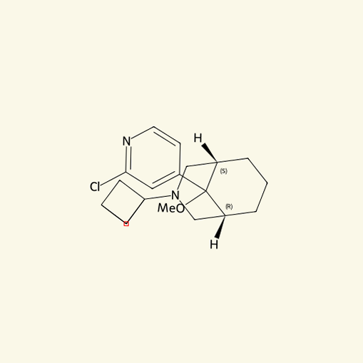 COC1(c2ccnc(Cl)c2)[C@@H]2CCC[C@H]1CN(C13CC(C1)C3)C2